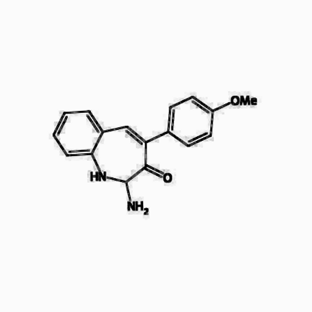 COc1ccc(C2=Cc3ccccc3NC(N)C2=O)cc1